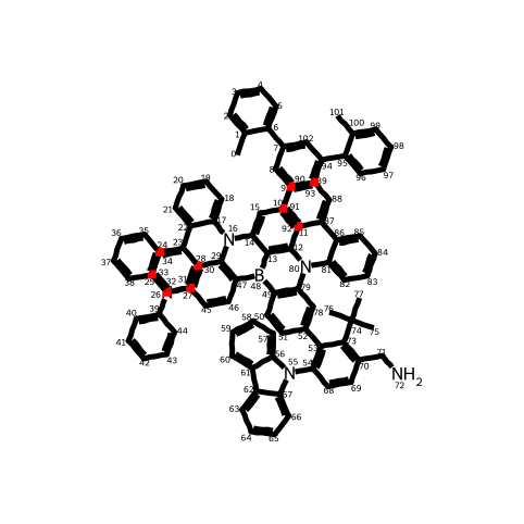 Cc1ccccc1-c1cc(-c2cc3c4c(c2)N(c2ccccc2-c2ccccc2)c2cc(N(c5ccccc5)c5ccccc5)ccc2B4c2ccc(-c4c(-n5c6ccccc6c6ccccc65)ccc(CN)c4C(C)(C)C)cc2N3c2ccccc2-c2ccccc2)cc(-c2ccccc2C)c1